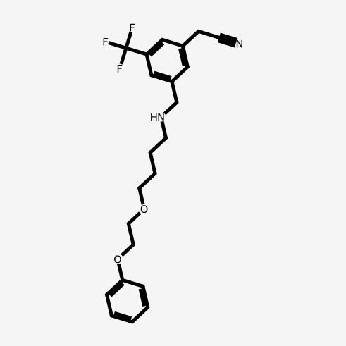 N#CCc1cc(CNCCCCOCCOc2ccccc2)cc(C(F)(F)F)c1